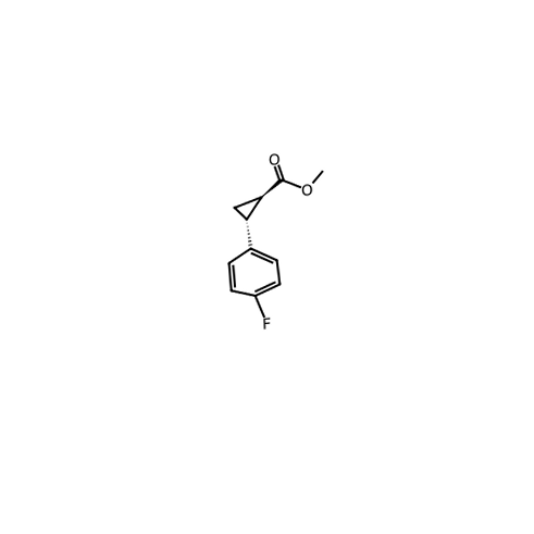 COC(=O)[C@@H]1C[C@H]1c1ccc(F)cc1